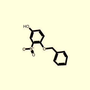 O=[N+]([O-])c1cc(O)ccc1OCc1ccccc1